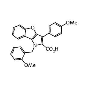 COc1ccc(-c2c(C(=O)O)n(Cc3ccccc3OC)c3c2oc2ccccc23)cc1